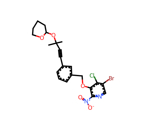 CC(C)(C#Cc1cccc(COc2c([N+](=O)[O-])ncc(Br)c2Cl)c1)OC1CCCCO1